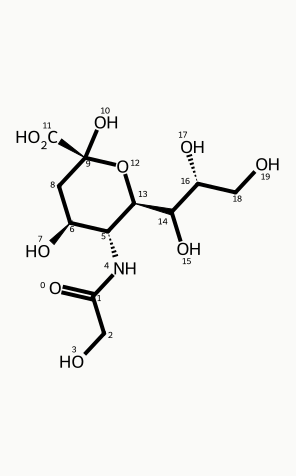 O=C(CO)N[C@@H]1[C@@H](O)C[C@@](O)(C(=O)O)O[C@H]1C(O)[C@H](O)CO